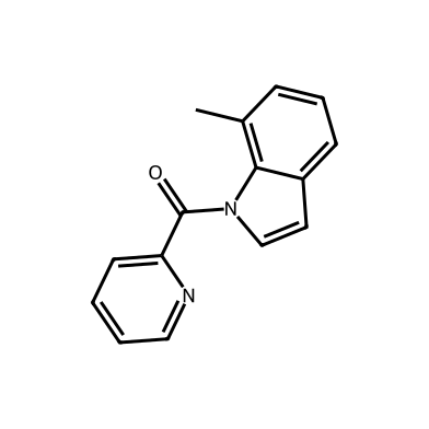 Cc1cccc2ccn(C(=O)c3ccccn3)c12